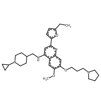 CCc1ccc(-c2cc(NCC3CCN(C4CC4)CC3)c3cc(OC)c(OCCCN4CCCC4)cc3n2)o1